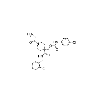 NCC(=O)N1CCC(COC(=O)Nc2ccc(Cl)cc2)(C(=O)NCc2ccccc2Cl)CC1